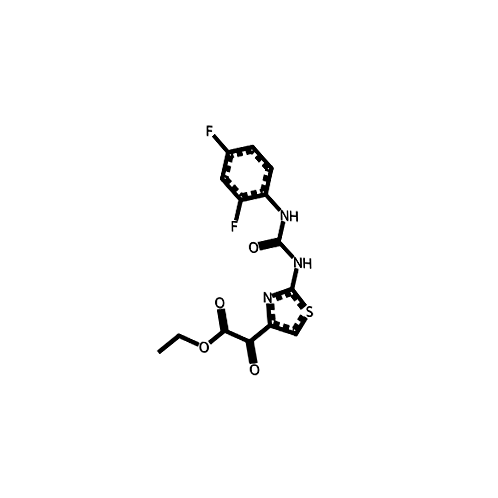 CCOC(=O)C(=O)c1csc(NC(=O)Nc2ccc(F)cc2F)n1